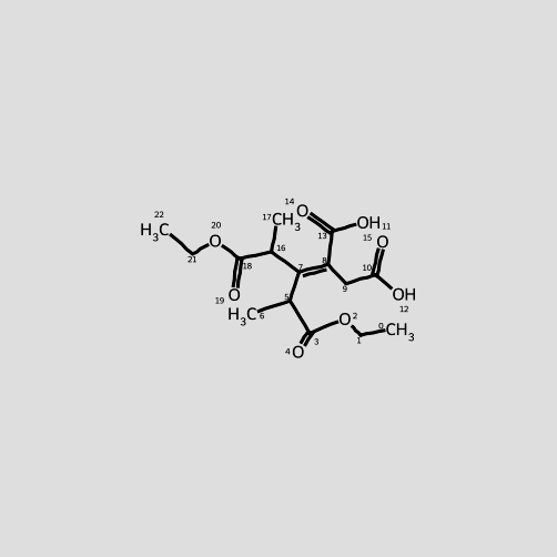 CCOC(=O)C(C)C(=C(CC(=O)O)C(=O)O)C(C)C(=O)OCC